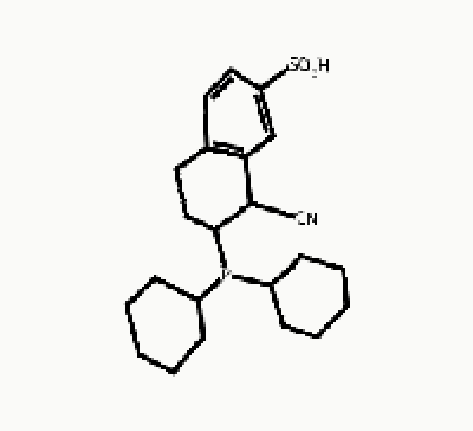 N#CC1c2cc(S(=O)(=O)O)ccc2CCC1P(C1CCCCC1)C1CCCCC1